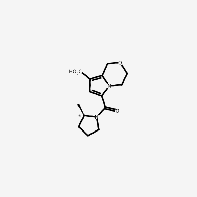 C[C@@H]1CCCN1C(=O)c1cc(C(=O)O)c2n1CCOC2